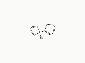 CCC1(C2=CC=CCC2)C=CC=C1